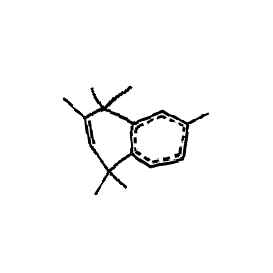 CC1=CC(C)(C)c2ccc(C)cc2C1(C)C